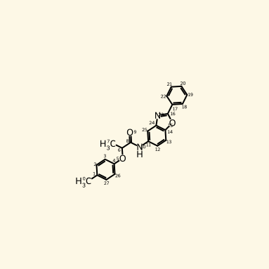 Cc1ccc(OC(C)C(=O)Nc2ccc3oc(-c4ccccc4)nc3c2)cc1